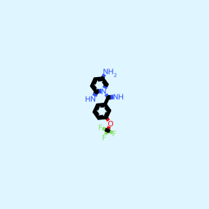 N=C(c1cccc(OC(F)(F)F)c1)n1cc(N)ccc1=N